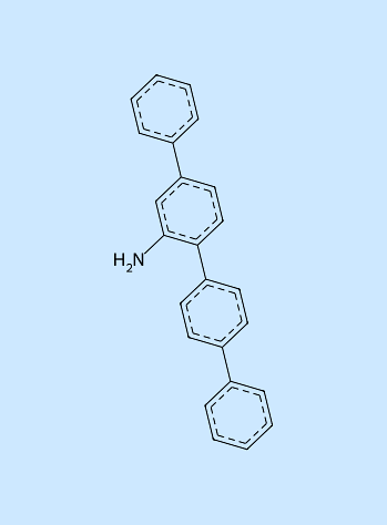 Nc1cc(-c2ccccc2)ccc1-c1ccc(-c2ccccc2)cc1